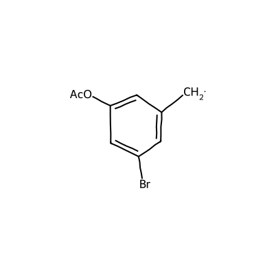 [CH2]c1cc(Br)cc(OC(C)=O)c1